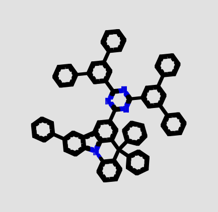 c1ccc(-c2cc(-c3ccccc3)cc(-c3nc(-c4cc(-c5ccccc5)cc(-c5ccccc5)c4)nc(-c4cc5c6c(c4)c4cc(-c7ccccc7)ccc4n6-c4ccccc4C5(c4ccccc4)c4ccccc4)n3)c2)cc1